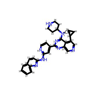 CN(c1nc(-c2ccnc(Nc3ccc4ccccc4n3)c2)nc2cncc(C3CC3)c12)C1CCNCC1